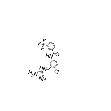 N=C/C(=C\N)NCc1cc(NC(=O)c2cccc(C(F)(F)F)c2)ccc1Cl